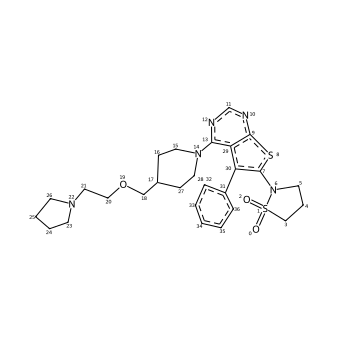 O=S1(=O)CCCN1c1sc2ncnc(N3CCC(COCCN4CCCC4)CC3)c2c1-c1ccccc1